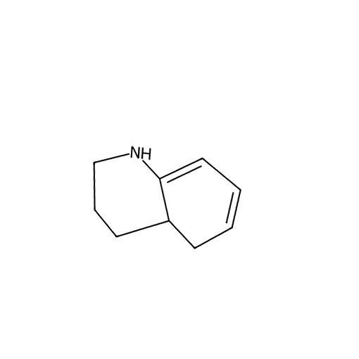 C1=CCC2CCCNC2=C1